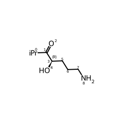 CC(C)C(=O)[C@H](O)CCCN